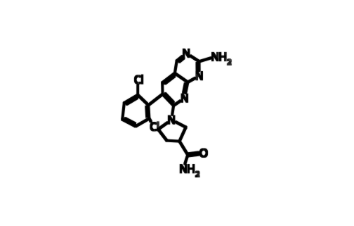 NC(=O)C1CCN(c2nc3nc(N)ncc3cc2-c2c(Cl)cccc2Cl)C1